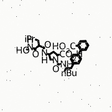 CCCCC(Cc1ccc(-c2ccccc2C(=O)O)cc1)NC(=O)N1CC(NC(=O)C(CC(C)C)C(=O)NO)CC1C(=O)O